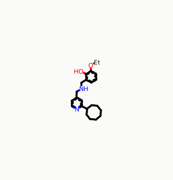 CCOc1cccc(CNCc2ccnc(C3CCCCCCC3)c2)c1O